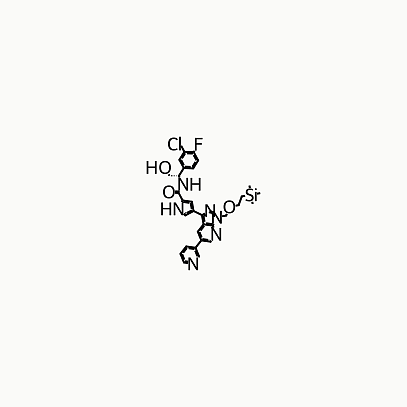 C[Si](C)(C)CCOCn1nc(-c2c[nH]c(C(=O)N[C@H](CO)c3ccc(F)c(Cl)c3)c2)c2cc(-c3cccnc3)cnc21